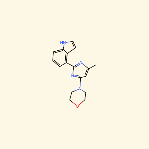 Cc1cc(N2CCOCC2)nc(-c2cccc3[nH]ccc23)n1